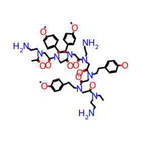 CCN(CCN)C(=O)CN(CCc1ccc(OC)cc1)C(=O)CN(CCc1ccc(OC)cc1)C(=O)CN(CCN)C(=O)CN(CCc1ccc(OC)cc1)C(=O)CN(CCc1ccc(OC)cc1)C(=O)CN(CCN)C(C)=O